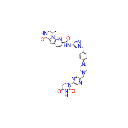 C[C@@H]1CNC(=O)c2cc3ccc(C(=O)Nc4cnn(Cc5ccc(N6CCN(Cc7cnc(N8CCC(=O)NC8=O)cn7)CC6)cc5)c4)nc3n21